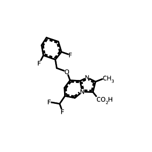 Cc1nc2c(OCc3c(F)cccc3F)cc(C(F)F)cn2c1C(=O)O